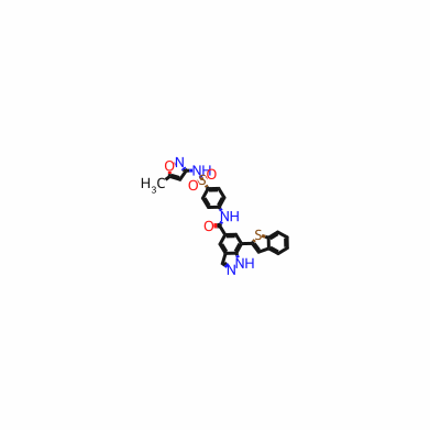 Cc1cc(NS(=O)(=O)c2ccc(NC(=O)c3cc(-c4cc5ccccc5s4)c4[nH]ncc4c3)cc2)no1